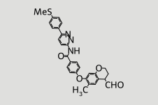 CSc1ccc(-c2ccc(NC(=O)c3ccc(Oc4cc5c(cc4C)C(C=O)CCO5)cc3)nn2)cc1